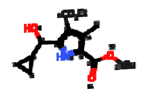 CCOC(=O)c1c(C(O)C2CC2)[nH]c(C(=O)OC(C)(C)C)c1C